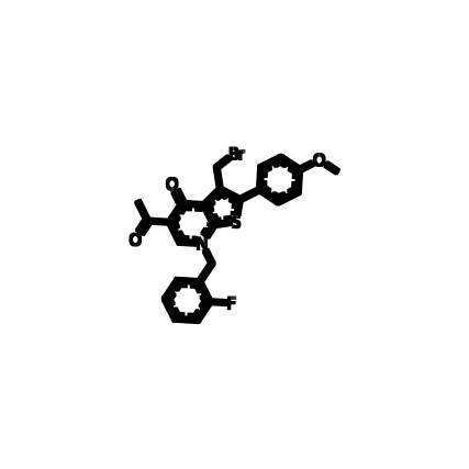 COc1ccc(-c2sc3c(c2CBr)c(=O)c(C(C)=O)cn3Cc2ccccc2F)cc1